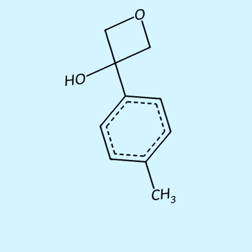 Cc1ccc(C2(O)COC2)cc1